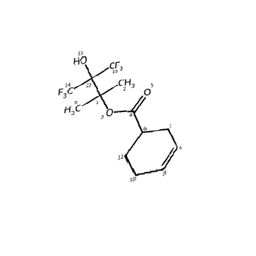 CC(C)(OC(=O)C1CC=CCC1)C(O)(C(F)(F)F)C(F)(F)F